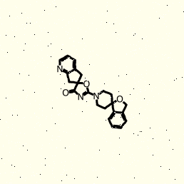 O=C1N=C(N2CCC3(CC2)OCc2ccccc23)OC12Cc1cccnc1C2